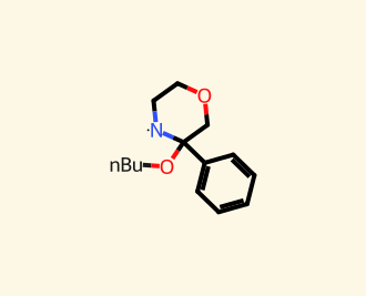 CCCCOC1(c2ccccc2)COCC[N]1